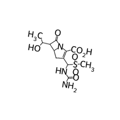 CC(O)C1C(=O)N2C(C(=O)O)=C(C(NC(N)=O)S(C)(=O)=O)CC12